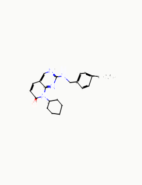 COc1ccc(CNc2ncc3ccc(=O)n(C4CCCCC4)c3n2)cc1